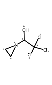 OC(N1CC1)C(Cl)(Cl)Cl